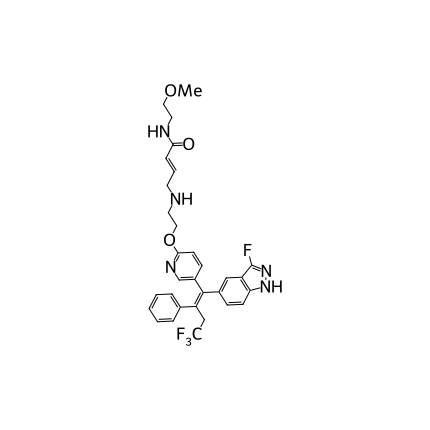 COCCNC(=O)/C=C/CNCCOc1ccc(/C(=C(/CC(F)(F)F)c2ccccc2)c2ccc3[nH]nc(F)c3c2)cn1